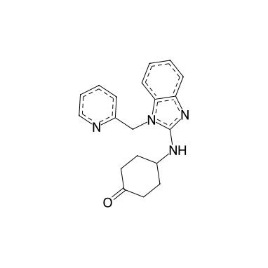 O=C1CCC(Nc2nc3ccccc3n2Cc2ccccn2)CC1